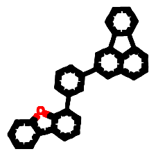 c1cc(-c2cc3c4c(cccc4c2)-c2ccccc2-3)cc(-c2cccc3c2oc2ccccc23)c1